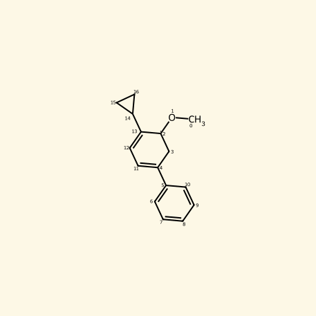 CO[C]1CC(c2ccccc2)=CC=C1C1CC1